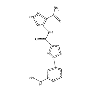 CCCNc1cc(-c2nc(C(=O)Nc3c[nH]nc3C(N)=O)co2)ccn1